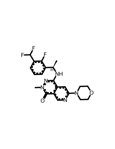 C[C@@H](Nc1nn(C)c(=O)c2cnc(N3CCOCC3)cc12)c1cccc(C(F)F)c1F